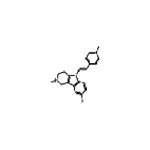 Cc1ccc(C=Cn2c3c(c4cc(F)ccc42)CN(C)CC3)cc1